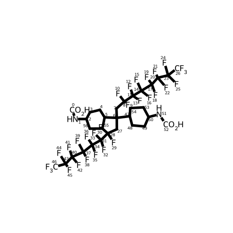 O=C(O)NC1CCC(C(CC(F)(F)C(F)(F)C(F)(F)C(F)(F)C(F)(F)C(F)(F)C(F)(F)F)(CC(F)(F)C(F)(F)C(F)(F)C(F)(F)C(F)(F)C(F)(F)C(F)(F)F)C2CCC(NC(=O)O)CC2)CC1